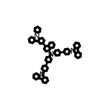 c1ccc(-n2c3ccccc3c3cc(-c4ccc(N(c5ccc(-c6ccc(-n7c8ccccc8c8ccccc87)cc6)cc5)c5ccc(-c6ccc(-n7c8ccccc8c8ccccc87)cc6)cc5)c5ccccc45)ccc32)cc1